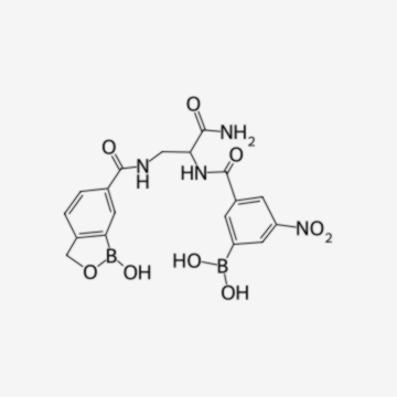 NC(=O)C(CNC(=O)c1ccc2c(c1)B(O)OC2)NC(=O)c1cc(B(O)O)cc([N+](=O)[O-])c1